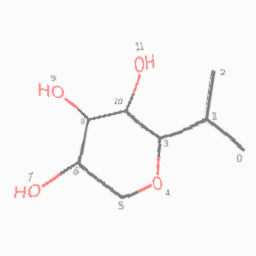 CC(C)C1OCC(O)C(O)C1O